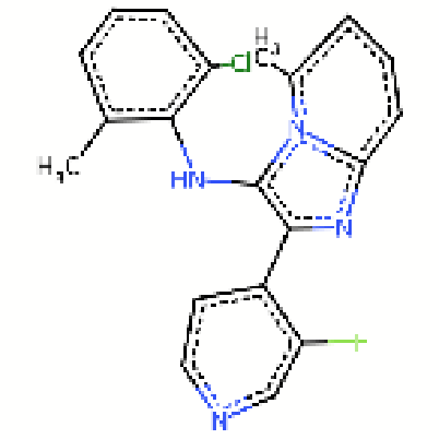 Cc1cccc(Cl)c1Nc1c(-c2ccncc2F)nc2cccc(C)n12